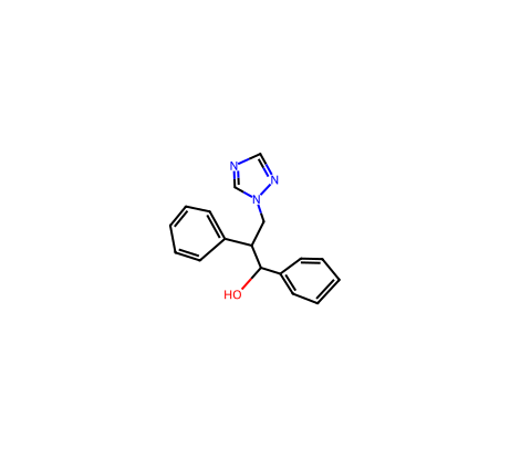 OC(c1ccccc1)C(Cn1cncn1)c1ccccc1